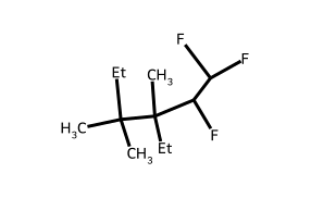 CCC(C)(C)C(C)(CC)C(F)C(F)F